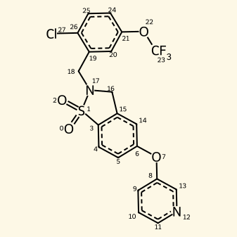 O=S1(=O)c2ccc(Oc3cccnc3)cc2CN1Cc1cc(OC(F)(F)F)ccc1Cl